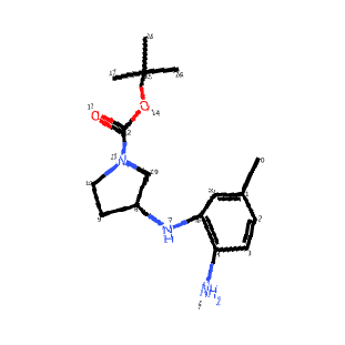 Cc1ccc(N)c(NC2CCN(C(=O)OC(C)(C)C)C2)c1